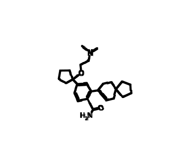 CN(C)CCOC1(c2ccc(C(N)=O)c(C3=CCC4(CCCC4)CC3)c2)CCCC1